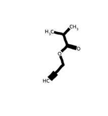 C#CCOC(=O)[C](C)C